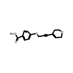 COC(=O)c1ccc(OCC#CC2=CCOCC2)cc1